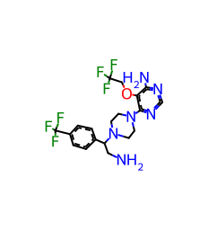 NCC(c1ccc(C(F)(F)F)cc1)N1CCN(c2ncnc(N)c2OCC(F)(F)F)CC1